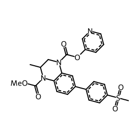 COC(=O)N1c2ccc(-c3ccc(S(C)(=O)=O)cc3)cc2N(C(=O)Oc2cccnc2)CC1C